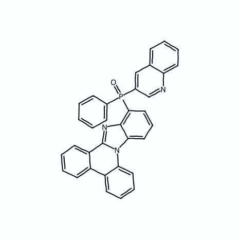 O=P(c1ccccc1)(c1cnc2ccccc2c1)c1cccc2c1nc1c3ccccc3c3ccccc3n21